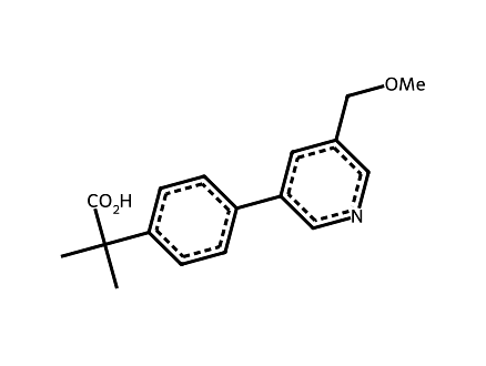 COCc1cncc(-c2ccc(C(C)(C)C(=O)O)cc2)c1